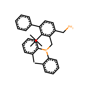 Cc1ccccc1P(Cc1c(CP)ccc(-c2ccccc2)c1C(C)(C)C)c1ccccc1C